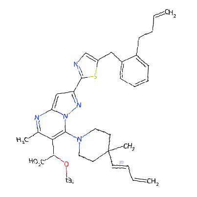 C=C/C=C/C1(C)CCN(c2c(C(OC(C)(C)C)C(=O)O)c(C)nc3cc(-c4ncc(Cc5ccccc5CCC=C)s4)nn23)CC1